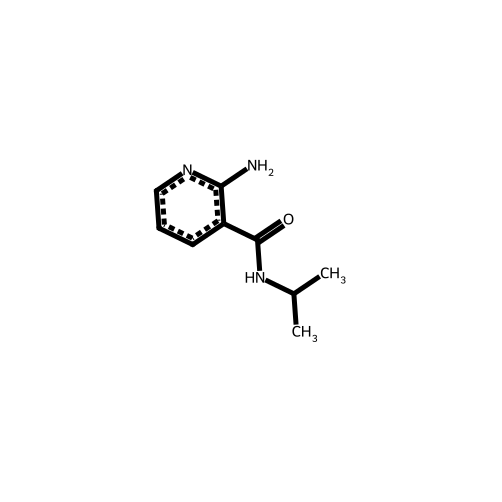 CC(C)NC(=O)c1cccnc1N